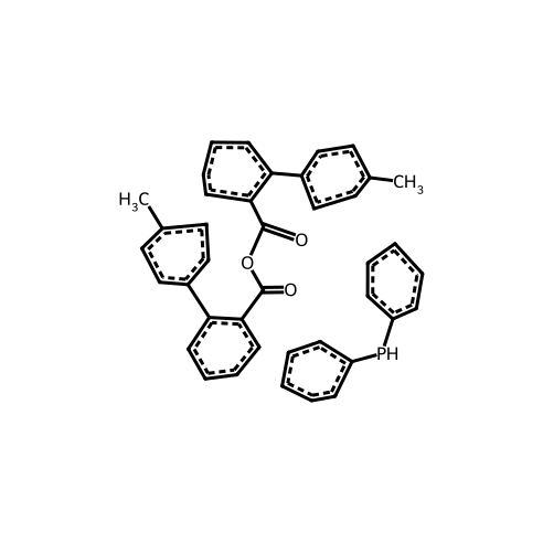 Cc1ccc(-c2ccccc2C(=O)OC(=O)c2ccccc2-c2ccc(C)cc2)cc1.c1ccc(Pc2ccccc2)cc1